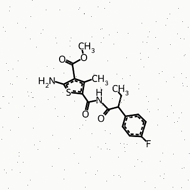 CCC(C(=O)NC(=O)c1sc(N)c(C(=O)OC)c1C)c1ccc(F)cc1